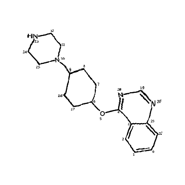 c1ccc2c(OC3CCC(N4CCNCC4)CC3)ncnc2c1